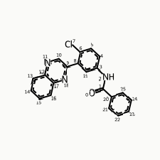 O=C(Nc1ccc(Cl)c(-c2cnc3ccccc3n2)c1)c1ccccc1